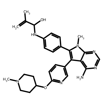 C=C(C)C(O)Nc1ccc(-c2c(-c3ccc(OC4CCN(C)CC4)nc3)c3c(N)ncnc3n2C)cc1